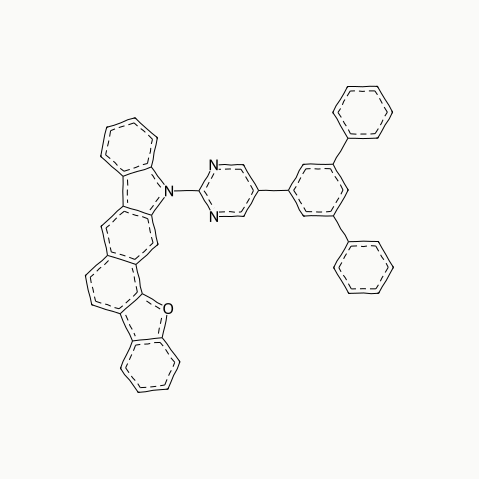 c1ccc(-c2cc(-c3ccccc3)cc(-c3cnc(-n4c5ccccc5c5cc6ccc7c8ccccc8oc7c6cc54)nc3)c2)cc1